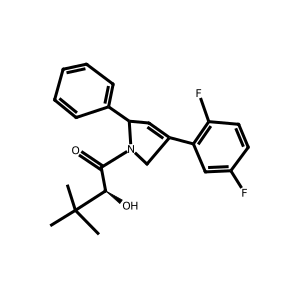 CC(C)(C)[C@H](O)C(=O)N1CC(c2cc(F)ccc2F)=CC1c1ccccc1